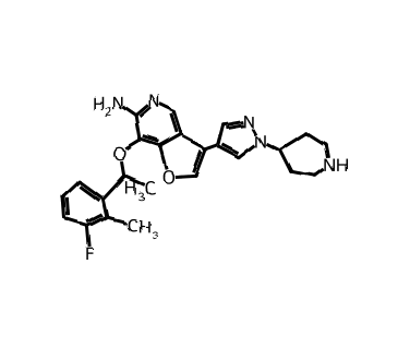 Cc1c(F)cccc1C(C)Oc1c(N)ncc2c(-c3cnn(C4CCNCC4)c3)coc12